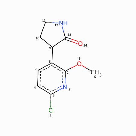 COc1nc(Cl)ccc1C1CCNC1=O